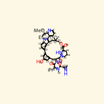 CCn1c(-c2cccnc2[C@H](C)OC)c2c3cc(ccc31)-c1cc(O)cc(c1)C[C@H](NC(=O)[C@H](C(C)C)N(C)C(=O)[C@H]1CN1)C(=O)N1CCC[C@H](N1)C(=O)OCC(C)(C)C2